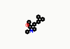 c1ccc(-c2nc3ccccc3c3c(-c4ccc(-c5ccc6c7ccccc7c7ccccc7c6c5)cc4)c4c(cc23)oc2ccccc24)cc1